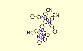 N#Cc1ccc2c(c1)B1c3cc(C#N)ccc3N(c3ccc(-c4ccccc4)cc3)c3cc(-c4ccc5c(c4)c4ccc(-c6ccccc6)cc4n5-c4ccc(C#N)cc4-c4nc(-c5ccccc5)nc(-c5ccccc5)n4)cc(c31)N2c1ccc(-c2ccccc2)cc1